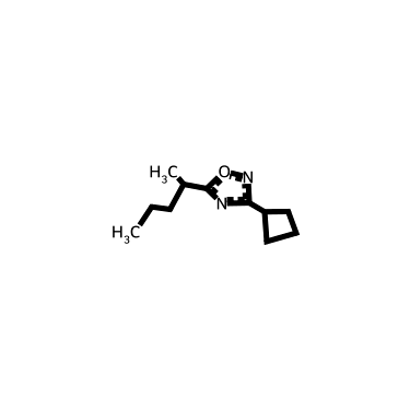 CCCC(C)c1nc(C2CCC2)no1